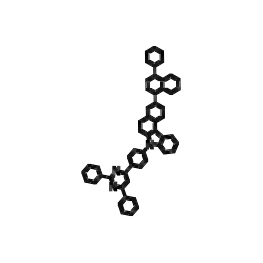 c1ccc(-c2cc(-c3ccc(-n4c5ccccc5c5c6ccc(-c7ccc(-c8ccccc8)c8ccccc78)cc6ccc54)cc3)nc(-c3ccccc3)n2)cc1